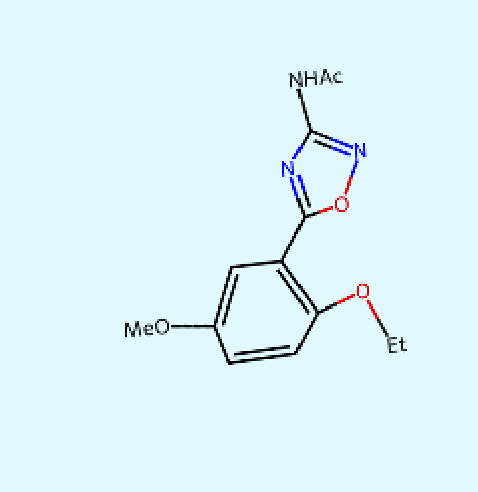 CCOc1ccc(OC)cc1-c1nc(NC(C)=O)no1